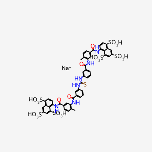 Cc1ccc(C(=O)Nc2ccc(S(=O)(=O)O)c3cc(S(=O)(=O)O)cc(S(=O)(=O)O)c23)cc1NC(=O)c1cccc(NC(=S)Nc2cccc(C(=O)Nc3cc(C(=O)Nc4ccc(S(=O)(=O)O)c5cc(S(=O)(=O)O)cc(S(=O)(=O)O)c45)ccc3C)c2)c1.[Na+]